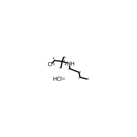 CCCCNC(C)(C)CCl.Cl